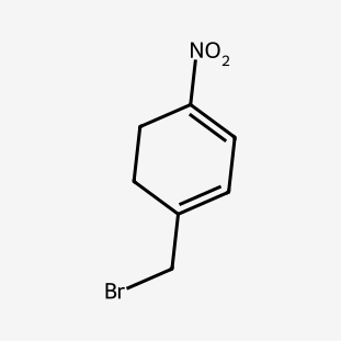 O=[N+]([O-])C1=CC=C(CBr)CC1